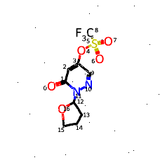 O=c1cc(OS(=O)(=O)C(F)(F)F)cnn1C1CCCO1